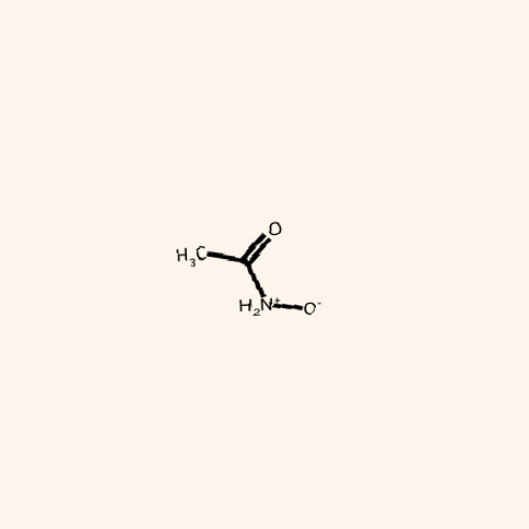 CC(=O)[NH2+][O-]